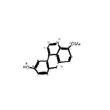 COc1cccc2c(-c3cc(O)ccc3F)ccnc12